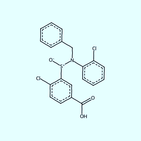 O=C(O)c1ccc(Cl)c([S+]([O-])N(Cc2ccccc2)c2ccccc2Cl)c1